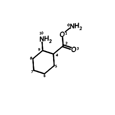 NOC(=O)C1CCCCC1N